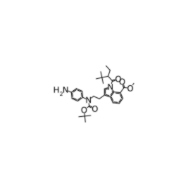 CCC(C(=O)n1cc(CCN(C(=O)OC(C)(C)C)c2ccc(N)cc2)c2cccc(C(=O)OC)c21)C(C)(C)C